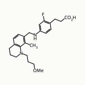 COCCCN1CCCc2ccc(CNc3ccc(CCC(=O)O)c(F)c3)c(C)c21